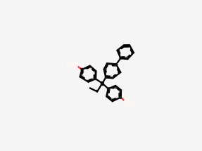 CCC(c1ccc(O)cc1)(c1ccc(O)cc1)c1ccc(-c2ccccc2)cc1